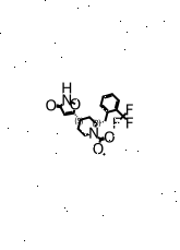 COC(=O)N1CC[C@H](c2cc(=O)[nH]o2)C[C@@H]1Cc1ccccc1C(F)(F)F